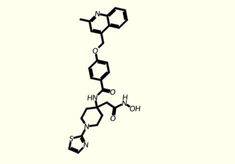 Cc1cc(COc2ccc(C(=O)NC3(CC(=O)NO)CCN(c4nccs4)CC3)cc2)c2ccccc2n1